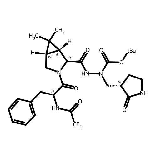 CC(C)(C)OC(=O)N(C[C@@H]1CCNC1=O)NC(=O)[C@@H]1[C@@H]2[C@H](CN1C(=O)[C@H](Cc1ccccc1)NC(=O)C(F)(F)F)C2(C)C